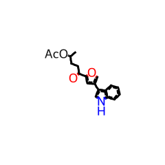 CC(=O)OC(C)CCC(=O)c1cc(-c2c[nH]c3ccccc23)co1